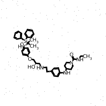 CCNC(=O)N1CCC(Nc2ccc(CCNC[C@H](O)COc3ccc(O[Si](c4ccccc4)(c4ccccc4)C(C)(C)C)cc3)cc2)CC1